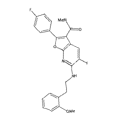 CNC(=O)c1c(-c2ccc(F)cc2)oc2nc(NCCc3ccccc3OC)c(I)cc12